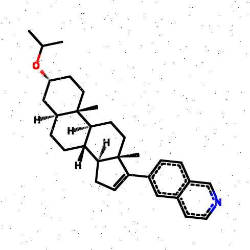 CC(C)O[C@@H]1CC[C@@]2(C)[C@@H](CC[C@@H]3[C@@H]2CC[C@]2(C)C(c4ccc5cnccc5c4)=CC[C@@H]32)C1